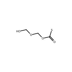 O=C([S])OCOCO